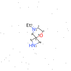 CCN1CCOC2(CNC2)C1